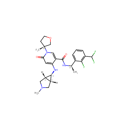 C[C@@H](NC(=O)c1cn([C@]2(C(F)(F)F)CCOC2)c(=O)cc1N[C@H]1[C@@H]2CN(C)C[C@@H]21)c1cccc(C(F)F)c1F